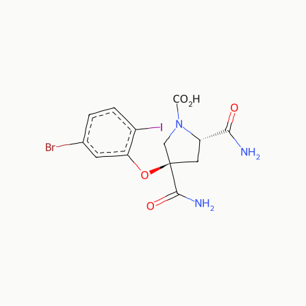 NC(=O)[C@@H]1C[C@](Oc2cc(Br)ccc2I)(C(N)=O)CN1C(=O)O